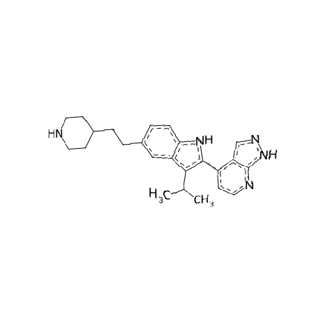 CC(C)c1c(-c2ccnc3[nH]ncc23)[nH]c2ccc(CCC3CCNCC3)cc12